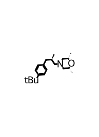 C[C@H](Cc1ccc(C(C)(C)C)cc1)CN1C[C@@H](C)O[C@@H](C)C1